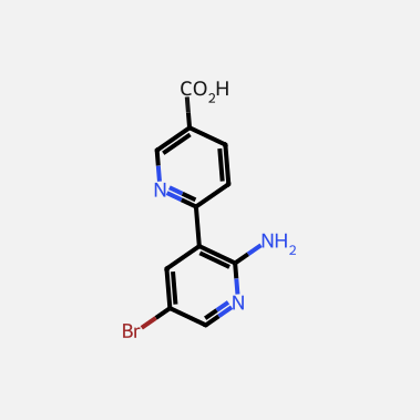 Nc1ncc(Br)cc1-c1ccc(C(=O)O)cn1